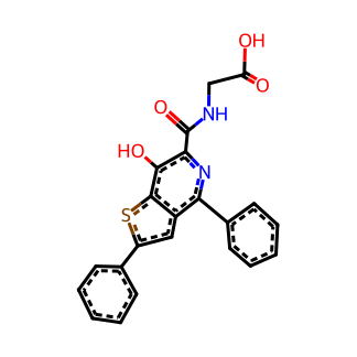 O=C(O)CNC(=O)c1nc(-c2ccccc2)c2cc(-c3ccccc3)sc2c1O